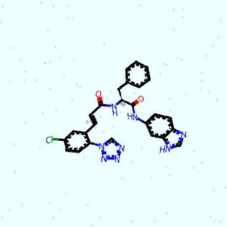 O=C(/C=C/c1cc(Cl)ccc1-n1cnnn1)N[C@@H](Cc1ccccc1)C(=O)Nc1ccc2nc[nH]c2c1